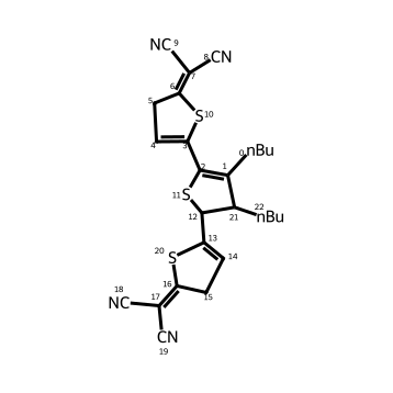 CCCCC1=C(C2=CCC(=C(C#N)C#N)S2)SC(C2=CCC(=C(C#N)C#N)S2)C1CCCC